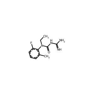 CCN(C(=O)NC(=N)N)c1c(C)cccc1F